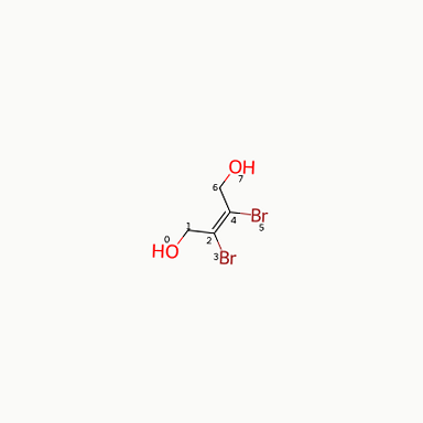 OC/C(Br)=C(/Br)CO